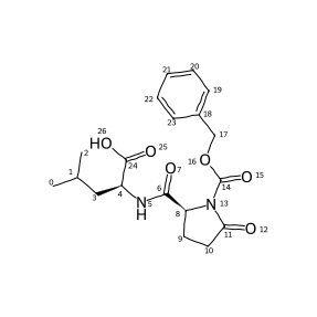 CC(C)C[C@H](NC(=O)[C@@H]1CCC(=O)N1C(=O)OCc1ccccc1)C(=O)O